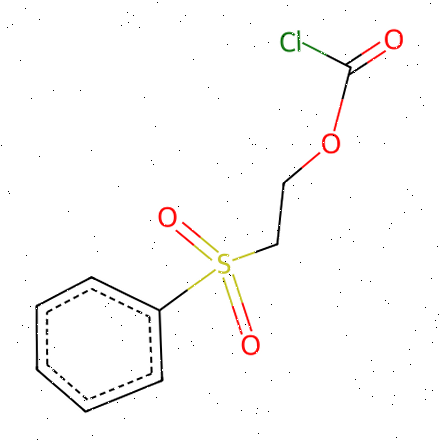 O=C(Cl)OCCS(=O)(=O)c1ccccc1